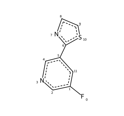 Fc1cncc(-c2nc[c]s2)c1